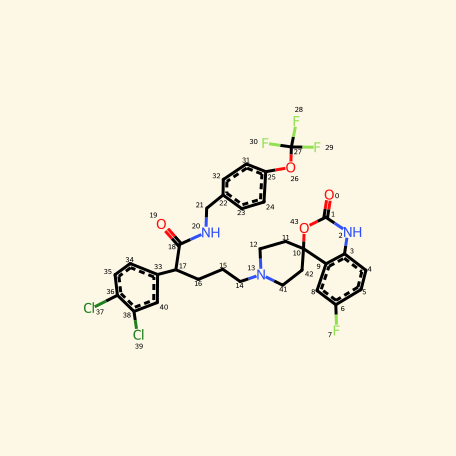 O=C1Nc2ccc(F)cc2C2(CCN(CCCC(C(=O)NCc3ccc(OC(F)(F)F)cc3)c3ccc(Cl)c(Cl)c3)CC2)O1